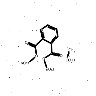 CC(=O)O.CCCCCCCCOC(=O)c1ccccc1C(=O)OCCCCCCCC